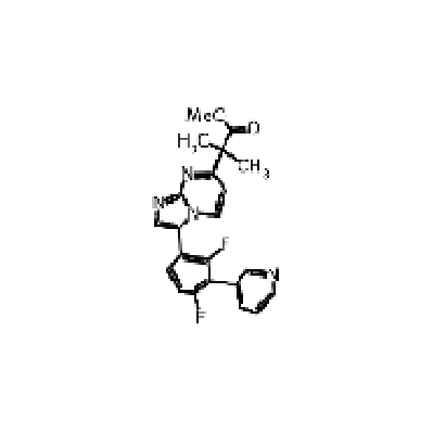 COC(=O)C(C)(C)c1ccn2c(-c3ccc(F)c(-c4cccnc4)c3F)cnc2n1